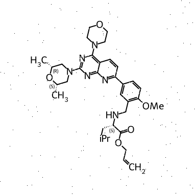 C=CCOC(=O)[C@H](CC(C)C)NCc1cc(-c2ccc3c(N4CCOCC4)nc(N4C[C@@H](C)O[C@@H](C)C4)nc3n2)ccc1OC